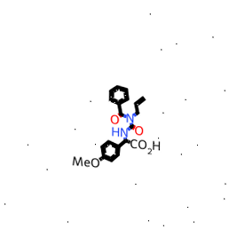 C=CCN(C(=O)NC(C(=O)O)c1ccc(OC)cc1)C(=O)c1ccccc1